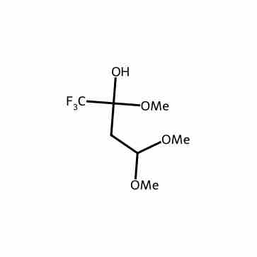 COC(CC(O)(OC)C(F)(F)F)OC